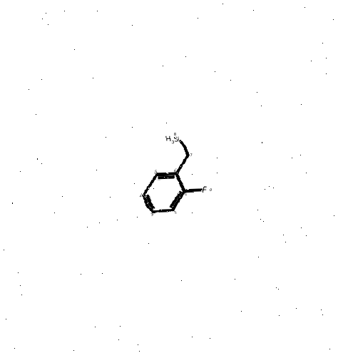 Fc1ccccc1C[SiH3]